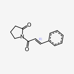 O=C(/C=C/c1ccccc1)N1CCCC1=O